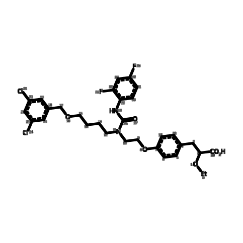 CCOC(Cc1ccc(OCCN(CCCCOCc2cc(Cl)cc(Cl)c2)C(=O)Nc2ccc(F)cc2F)cc1)C(=O)O